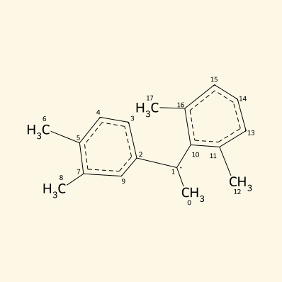 C[C](c1ccc(C)c(C)c1)c1c(C)cccc1C